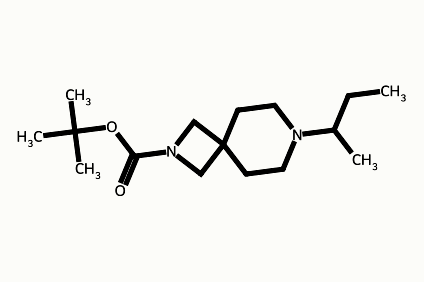 CCC(C)N1CCC2(CC1)CN(C(=O)OC(C)(C)C)C2